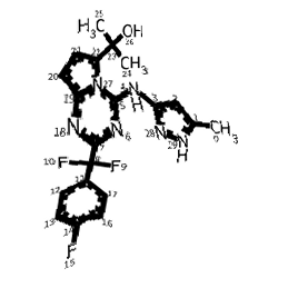 Cc1cc(Nc2nc(C(F)(F)c3ccc(F)cc3)nc3ccc(C(C)(C)O)n23)n[nH]1